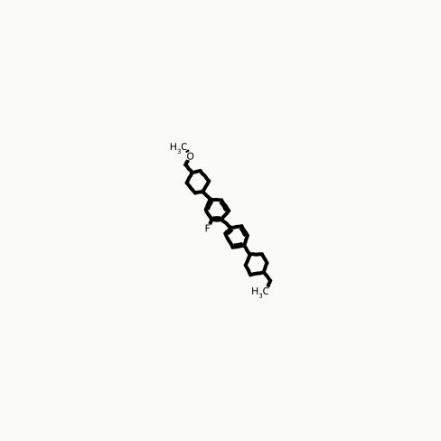 CCC1CCC(c2ccc(-c3ccc(C4CCC(COC)CC4)cc3F)cc2)CC1